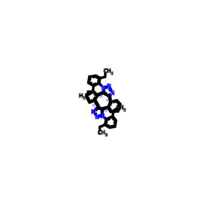 CCc1cccc(CC)c1-n1nnc2/c1=c1/cccc/c1=c1\nnn(-c3c(CC)cccc3CC)\c1=c1/cccc/c1=2